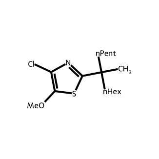 CCCCCCC(C)(CCCCC)c1nc(Cl)c(OC)s1